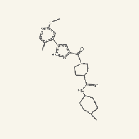 COc1cc(-c2cc(C(=O)N3CCC(C(=O)NC4CCC(C)CC4)CC3)n[nH]2)c(F)cn1